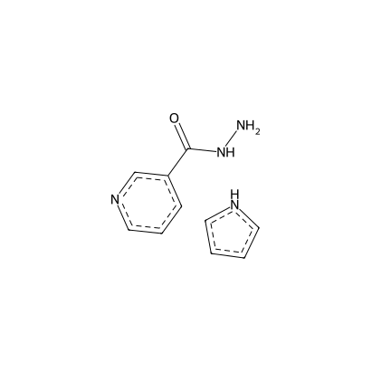 NNC(=O)c1cccnc1.c1cc[nH]c1